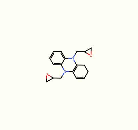 C1=CC2=C(CC1)N(CC1CO1)c1ccccc1N2CC1CO1